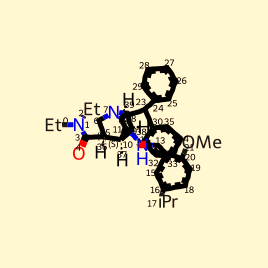 CCN(CC)C(=O)[C@H]1CN2CC[C@@H]1[C@H](NCc1cc(C(C)C)ccc1OC)[C@@H]2C(c1ccccc1)c1ccccc1